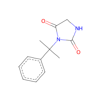 CC(C)(c1ccccc1)N1C(=O)CNC1=O